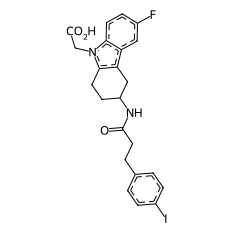 O=C(O)Cn1c2c(c3cc(F)ccc31)CC(NC(=O)CCc1ccc(I)cc1)CC2